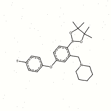 CC1(C)OB(c2ccc(Oc3ccc(F)cc3)cc2CN2CCCCC2)OC1(C)C